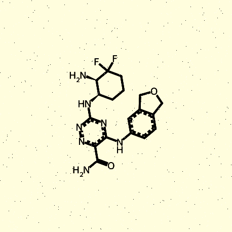 NC(=O)c1nnc(N[C@@H]2CCCC(F)(F)[C@@H]2N)nc1Nc1ccc2c(c1)COC2